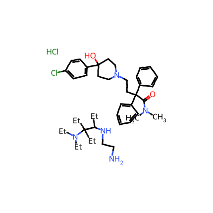 CCC(NCCN)C(CC)(CC)N(CC)CC.CN(C)C(=O)C(CCN1CCC(O)(c2ccc(Cl)cc2)CC1)(c1ccccc1)c1ccccc1.Cl